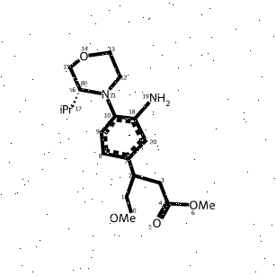 COCC(CC(=O)OC)c1ccc(N2CCOC[C@H]2C(C)C)c(N)c1